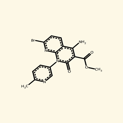 COC(=O)c1c(N)c2ccc(Br)nc2n(-c2ccc(C)nc2)c1=O